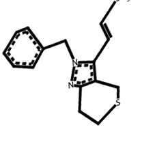 O=S(=O)(O)C=Cc1c2c(nn1Cc1ccccc1)CCSC2